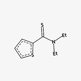 CCN(CC)C(=S)c1cccs1